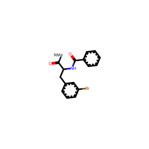 CNC(=O)C(Cc1cccc(Br)c1)NC(=O)c1ccccc1